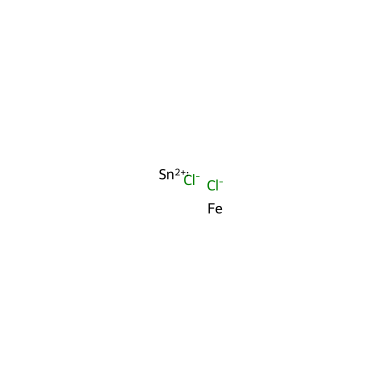 [Cl-].[Cl-].[Fe].[Sn+2]